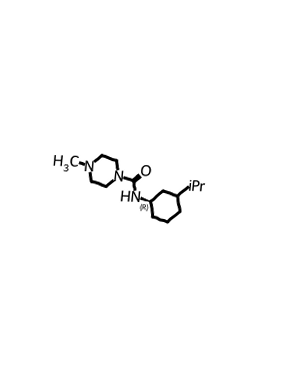 CC(C)C1CCC[C@@H](NC(=O)N2CCN(C)CC2)C1